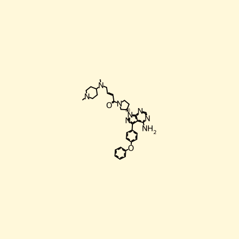 CN1CCC(N(C)CC=CC(=O)N2CC[C@@H](n3nc(-c4ccc(Oc5ccccc5)cc4)c4c(N)ncnc43)C2)CC1